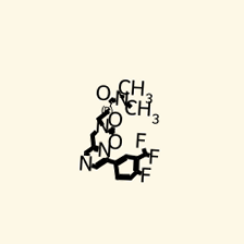 CN(C)C(=O)[C@H]1CN(Cc2cncc(-c3ccc(F)c(C(F)F)c3)n2)C(=O)O1